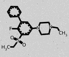 CCN1CCN(c2cc(-c3ccccc3)c(F)c(S(=O)(=O)CC)c2)CC1